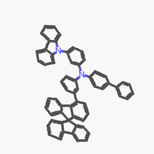 c1ccc(-c2ccc(N(c3cccc(-c4cccc5c4-c4ccccc4C54c5ccccc5-c5ccccc54)c3)c3cccc(-n4c5ccccc5c5ccccc54)c3)cc2)cc1